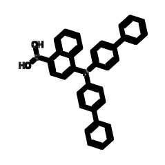 OB(O)c1ccc(N(c2ccc(-c3ccccc3)cc2)c2ccc(-c3ccccc3)cc2)c2ccccc12